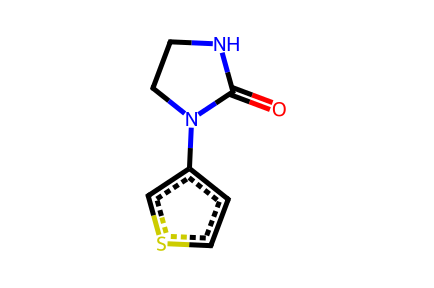 O=C1NCCN1c1ccsc1